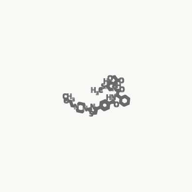 COCCN1CCN(c2nc(-c3ccc(C(=O)N[C@H](C(=O)N4C[C@H](SC)[C@H]5OCC(=O)[C@H]54)C4CCCCC4)cc3)cs2)CC1